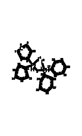 I[PH](C[PH](I)(c1ccccc1)c1ccccc1)(c1ccccc1)c1ccccc1